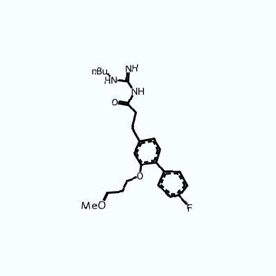 CCCCNC(=N)NC(=O)CCc1ccc(-c2ccc(F)cc2)c(OCCCOC)c1